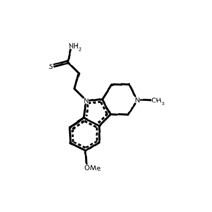 COc1ccc2c(c1)c1c(n2CCC(N)=S)CCN(C)C1